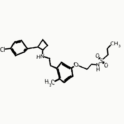 CCCS(=O)(=O)NCCOc1ccc(C)c(CCNC2CCC2c2ccc(Cl)cc2)c1